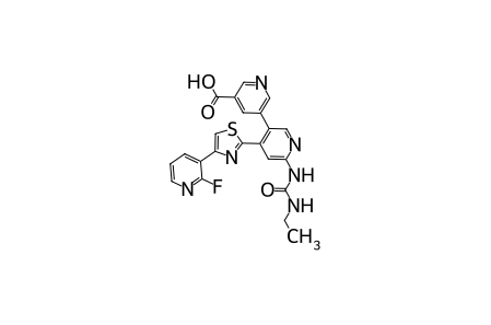 CCNC(=O)Nc1cc(-c2nc(-c3cccnc3F)cs2)c(-c2cncc(C(=O)O)c2)cn1